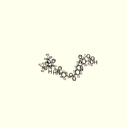 CCC1(O)C(=O)OCc2c1cc1n(c2=O)Cc2cc3cc(C(=O)OCc4ccc(NC(=O)CC[C@H](NC(=O)OC(C)(C)C)C(=O)OC(C)(C)C)cc4)ccc3nc2-1